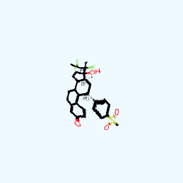 CC(F)(F)[C@](C)(F)C1(O)CCC2C3CCC4=CC(=O)CCC4=C3[C@@H](c3ccc(S(C)(=O)=O)cc3)C[C@@]21C